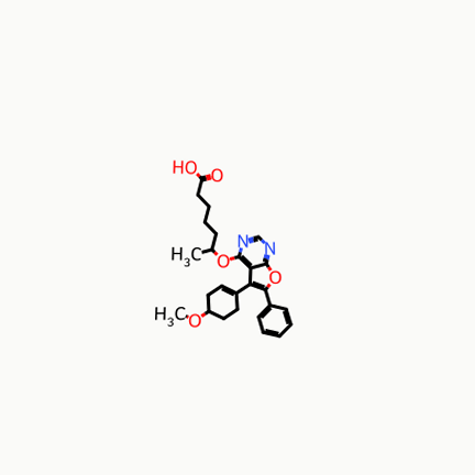 COC1CC=C(c2c(-c3ccccc3)oc3ncnc(OC(C)CCCCC(=O)O)c23)CC1